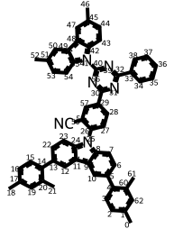 Cc1ccc(-c2ccc3c(c2)c2cc(-c4ccc(C)cc4C)ccc2n3-c2ccc(-c3nc(-c4ccccc4)nc(-n4c5ccc(C)cc5c5cc(C)ccc54)n3)cc2C#N)c(C)c1